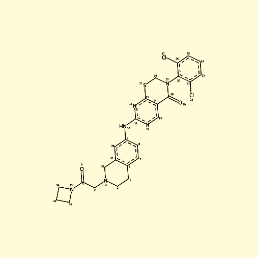 O=C(CN1CCc2ccc(Nc3ncc4c(n3)SCN(c3c(Cl)cccc3Cl)C4=O)cc2C1)N1CCC1